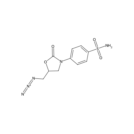 [N-]=[N+]=NCC1CN(c2ccc(S(N)(=O)=O)cc2)C(=O)O1